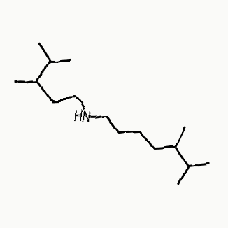 CC(C)C(C)CCCCNCCC(C)C(C)C